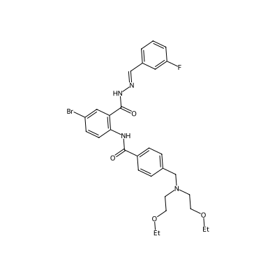 CCOCCN(CCOCC)Cc1ccc(C(=O)Nc2ccc(Br)cc2C(=O)NN=Cc2cccc(F)c2)cc1